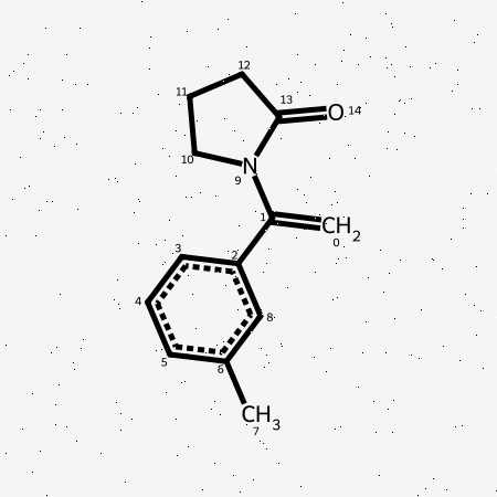 C=C(c1cccc(C)c1)N1CCCC1=O